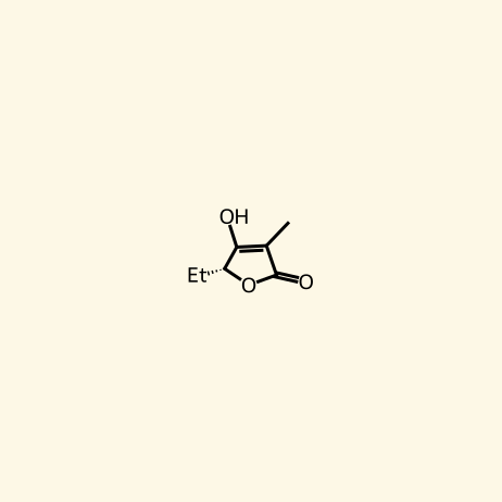 CC[C@H]1OC(=O)C(C)=C1O